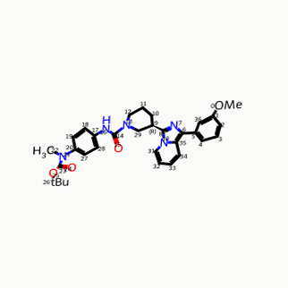 COc1cccc(-c2nc([C@@H]3CCCN(C(=O)Nc4ccc(N(C)C(=O)OC(C)(C)C)cc4)C3)n3ccccc23)c1